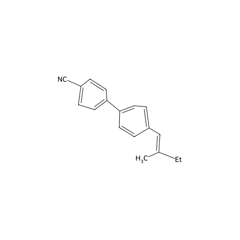 CC/C(C)=C/c1ccc(-c2ccc(C#N)cc2)cc1